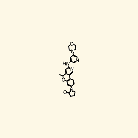 CC1Oc2cc(N3CCCC3=O)ccc2-c2cnc(Nc3cncc(N4CCOCC4)c3)cc21